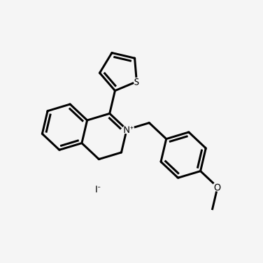 COc1ccc(C[N+]2=C(c3cccs3)c3ccccc3CC2)cc1.[I-]